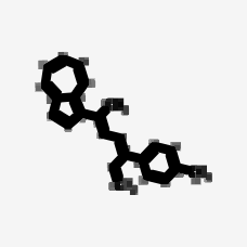 C=C/C(=C\C=C(/C)c1ccc2cccccc1-2)c1ccc(C)cc1